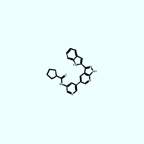 O=C(Nc1cncc(-c2cnc3[nH]nc(-c4cc5ccccc5[nH]4)c3c2)c1)C1CCCC1